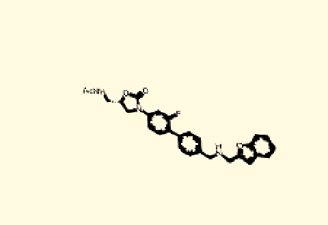 CC(=O)NC[C@H]1CN(c2ccc(-c3ccc(CNCc4cc5ccccc5o4)cc3)c(F)c2)C(=O)O1